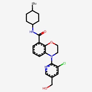 CC(C)(C)C1CCC(NC(=O)c2cccc3c2OCCN3c2ncc(CO)cc2Cl)CC1